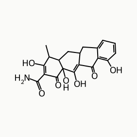 CC1C(O)=C(C(N)=O)C(=O)C2(O)C(O)=C3C(=O)c4c(O)cccc4CC3CC12